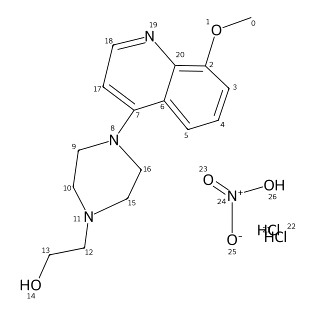 COc1cccc2c(N3CCN(CCO)CC3)ccnc12.Cl.Cl.O=[N+]([O-])O